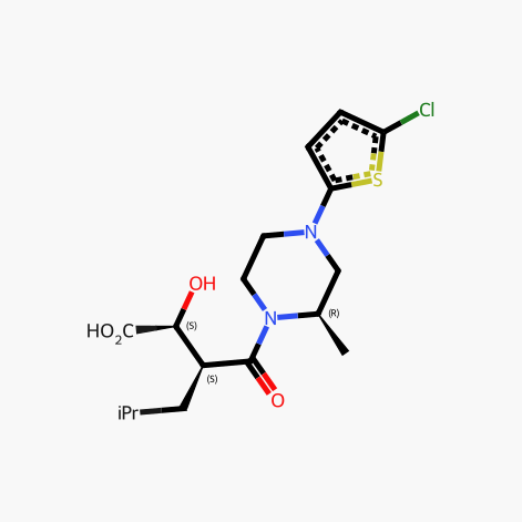 CC(C)C[C@H](C(=O)N1CCN(c2ccc(Cl)s2)C[C@H]1C)[C@H](O)C(=O)O